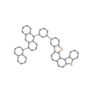 c1cc(-c2ccc3sc4c(ccc5ccc6sc7ccccc7c6c54)c3c2)cc(-c2c3ccccc3cc3c(-c4cccc5ccccc45)cccc23)c1